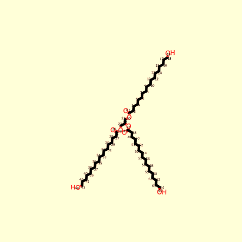 O=C(CCCCCCCCCCCCCCCCCO)OCC(COC(=O)CCCCCCCCCCCCCCCCCO)OC(=O)CCCCCCCCCCCCCCCCCO